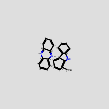 CC(C)(C)c1cccc2c1[nH]c1ccccc12.c1ccc2nc3ccccc3nc2c1